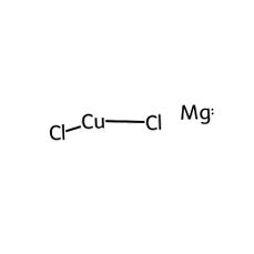 [Cl][Cu][Cl].[Mg]